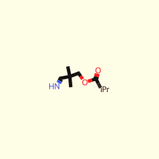 CC(C)C(=O)OCC(C)(C)C=N